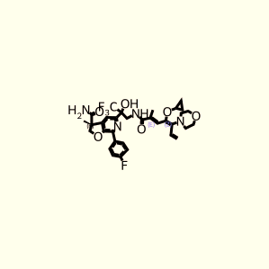 C=C/C(=C(\C=C(/C)C(=O)NCC(O)(c1cc2c(c(-c3ccc(F)cc3)n1)OC[C@]2(C)C(N)=O)C(F)(F)F)OC1CC1)N1CCOCC1